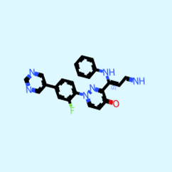 N=C/C=C(\Nc1ccccc1)c1nn(-c2ccc(-c3cncnc3)cc2F)ccc1=O